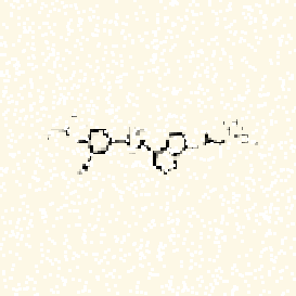 CC(C)Oc1ccc(-c2nnc(-c3cccc4c3CC[C@@H]4NC(=O)CN(C)C)s2)cc1C#N